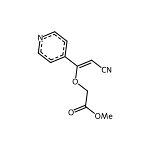 COC(=O)CO/C(=C\C#N)c1ccncc1